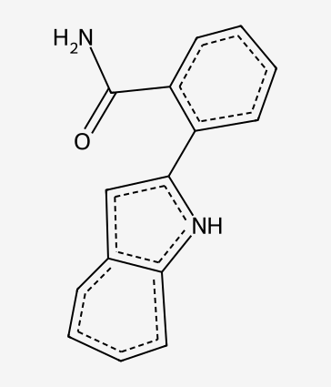 NC(=O)c1ccccc1-c1cc2ccccc2[nH]1